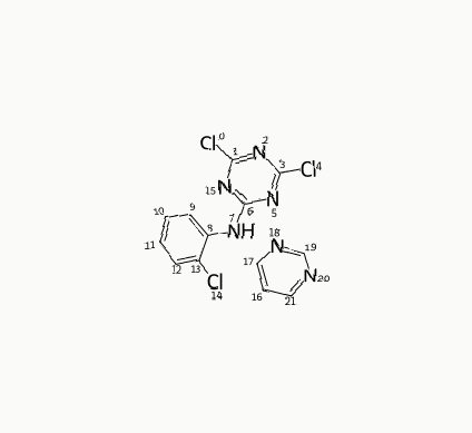 Clc1nc(Cl)nc(Nc2ccccc2Cl)n1.c1cncnc1